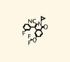 N#Cc1c(-c2cccc(F)c2)c2cc(OC(F)F)ccc2c(=O)n1C1CC1